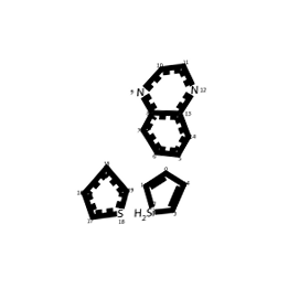 C1=C[SiH2]C=C1.c1ccc2nccnc2c1.c1ccsc1